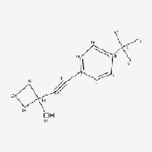 CC(C)(C)c1ccc(C#CC2(O)CCC2)cc1